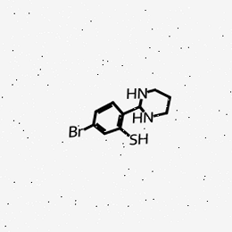 Sc1cc(Br)ccc1C1NCCCN1